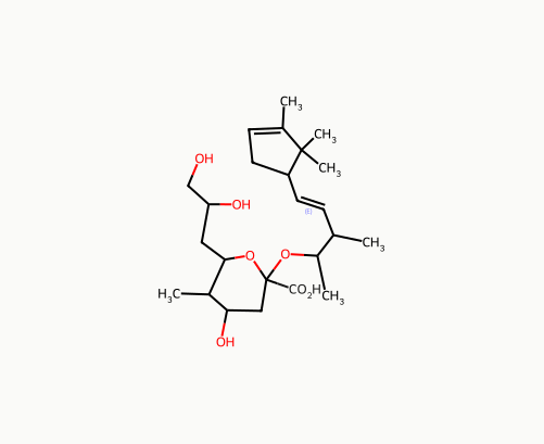 CC1=CCC(/C=C/C(C)C(C)OC2(C(=O)O)CC(O)C(C)C(CC(O)CO)O2)C1(C)C